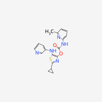 Cc1cccc(NC(=O)Oc2nc(C3CC3)sc2Nc2cccnc2)n1